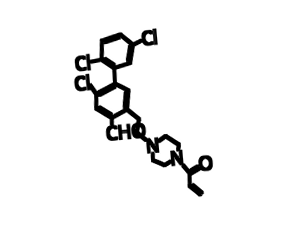 C=CC(=O)N1CCN(CCc2cc(-c3cc(Cl)ccc3Cl)c(Cl)cc2C=O)CC1